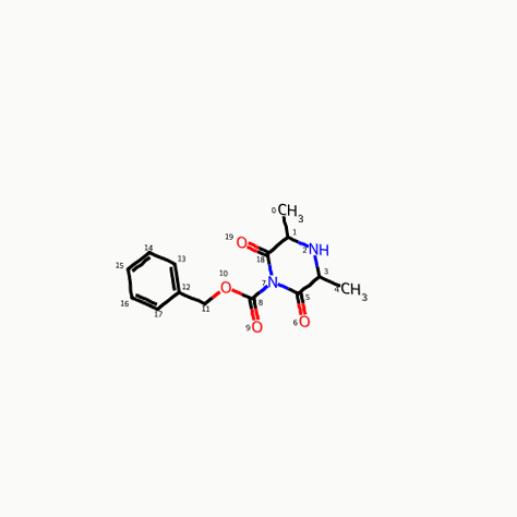 CC1NC(C)C(=O)N(C(=O)OCc2ccccc2)C1=O